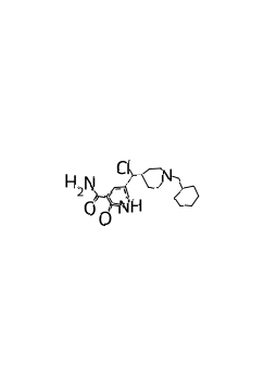 NC(=O)c1cc(C(Cl)C2CCN(CC3CCCCC3)CC2)c[nH]c1=O